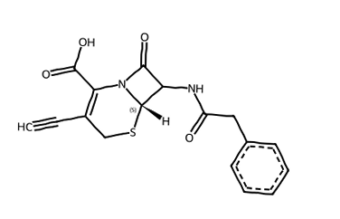 C#CC1=C(C(=O)O)N2C(=O)C(NC(=O)Cc3ccccc3)[C@@H]2SC1